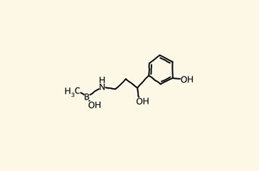 CB(O)NCCC(O)c1cccc(O)c1